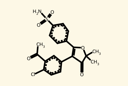 CC(=O)c1cc(C2=C(c3ccc(S(N)(=O)=O)cc3)OC(C)(C)C2=O)ccc1Cl